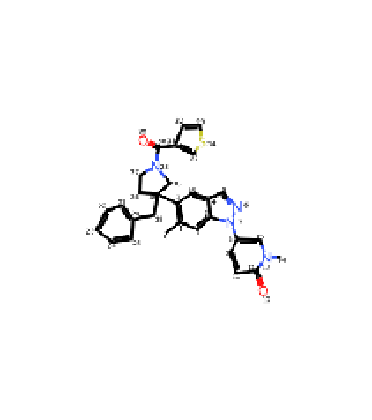 Cc1cc2c(cnn2-c2ccc(=O)n(C)c2)cc1C1(Cc2ccccc2)CCN(C(=O)c2ccsc2)C1